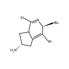 CCC1=N[C@@H](C(C)(C)C)C(C(C)C)=C2C[C@H](N)CN12